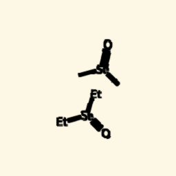 CC[Se](=O)CC.C[Se](C)=O